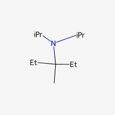 CCC(C)(CC)N(C(C)C)C(C)C